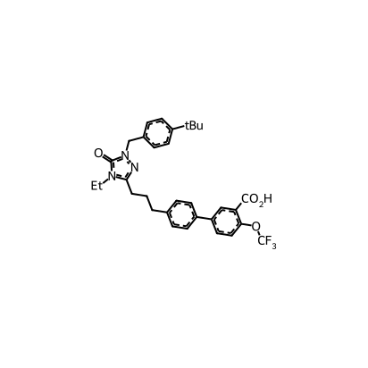 CCn1c(CCCc2ccc(-c3ccc(OC(F)(F)F)c(C(=O)O)c3)cc2)nn(Cc2ccc(C(C)(C)C)cc2)c1=O